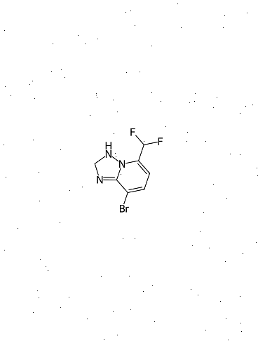 FC(F)C1=CC=C(Br)C2=NCNN12